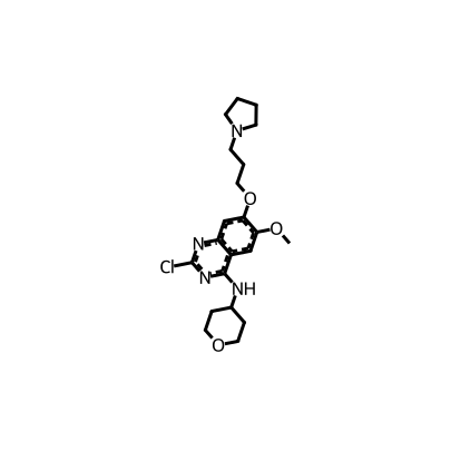 COc1cc2c(NC3CCOCC3)nc(Cl)nc2cc1OCCCN1CCCC1